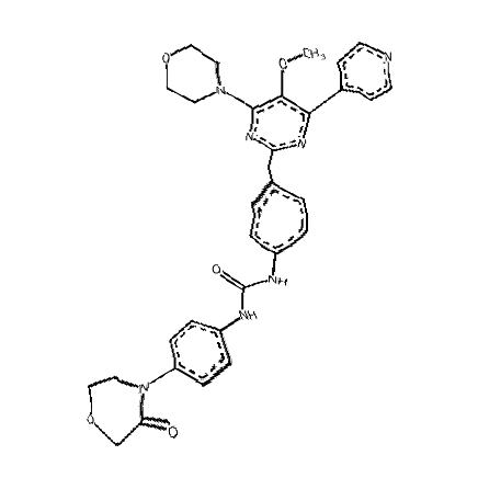 COc1c(-c2ccncc2)nc(-c2ccc(NC(=O)Nc3ccc(N4CCOCC4=O)cc3)cc2)nc1N1CCOCC1